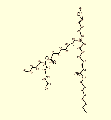 CCCCCCCCOC(=O)CCCCCCCN(CCC/C=N/OC)CCCCCCCC(=O)OC(CCCCC)CCCCCC